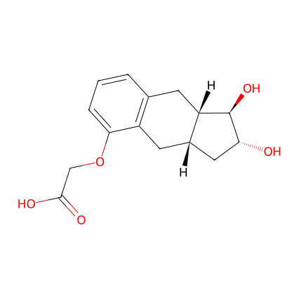 O=C(O)COc1cccc2c1C[C@H]1C[C@@H](O)[C@H](O)[C@H]1C2